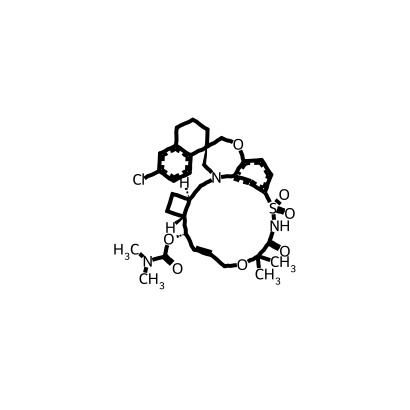 CN(C)C(=O)O[C@H]1/C=C/COC(C)(C)C(=O)NS(=O)(=O)c2ccc3c(c2)N(C[C@@H]2CC[C@H]21)C[C@@]1(CCCc2cc(Cl)ccc21)CO3